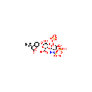 Cc1cc(=O)oc2cc(OC3OC(C(=O)O)C(OC4OC(COS(=O)(=O)O)C(O)C(OS(=O)(=O)O)C4NS(=O)(=O)O)C(O)C3O)ccc12